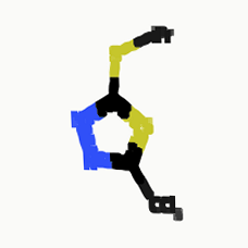 CC(C)Sc1nnc(C(Cl)(Cl)Cl)s1